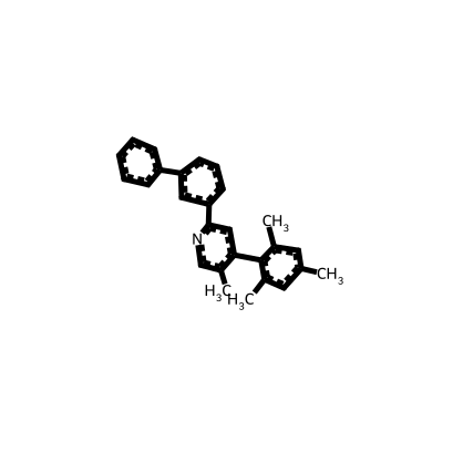 Cc1cc(C)c(-c2cc(-c3cccc(-c4ccccc4)c3)ncc2C)c(C)c1